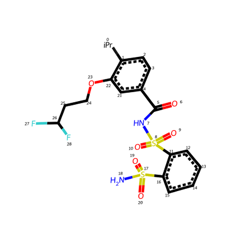 CC(C)c1ccc(C(=O)NS(=O)(=O)c2ccccc2S(N)(=O)=O)cc1OCCC(F)F